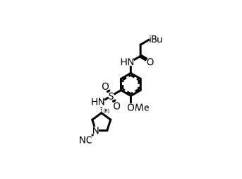 CCC(C)CC(=O)Nc1ccc(OC)c(S(=O)(=O)N[C@@H]2CCN(C#N)C2)c1